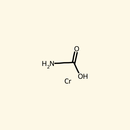 NC(=O)O.[Cr]